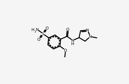 COc1ccc(S(N)(=O)=O)cc1C(=O)NC1C=NN(C)C1